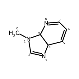 CN1C=NC2C=CC=NC21